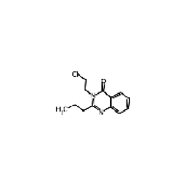 CCCc1nc2ccccc2c(=O)n1CCCl